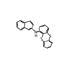 c1ccc2c(c1)Sc1cccc(Nc3ccc4ccccc4c3)c1S2